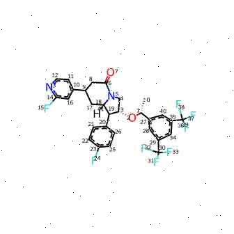 C[C@@H](O[C@H]1CN2C(=O)CC(c3ccnc(F)c3)C[C@H]2C1c1ccc(F)cc1)c1cc(C(F)(F)F)cc(C(F)(F)F)c1